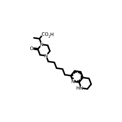 CC(C(=O)O)N1CCN(CCCCCc2ccc3c(n2)NCCC3)CC1=O